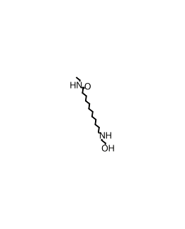 CCNC(=O)CCCCCCCCCCCNCCO